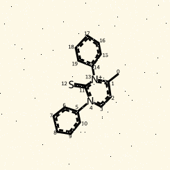 Cc1ccn(-c2ccccc2)c(=S)[n+]1-c1ccccc1